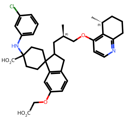 C[C@@H](COc1ccnc2c1[C@H](C)CCC2)CC1Cc2ccc(OCC(=O)O)cc2C12CCC(Nc1cccc(Cl)c1)(C(=O)O)CC2